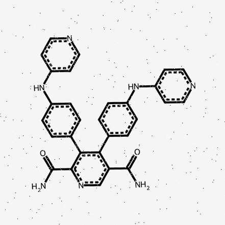 NC(=O)c1cnc(C(N)=O)c(-c2ccc(Nc3ccncc3)cc2)c1-c1ccc(Nc2ccncc2)cc1